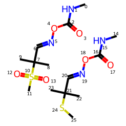 CNC(=O)O/N=C/C(C)(C)S(C)(=O)=O.CNC(=O)O/N=C/C(C)(C)SC